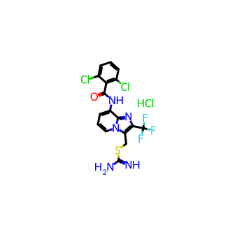 Cl.N=C(N)SCc1c(C(F)(F)F)nc2c(NC(=O)c3c(Cl)cccc3Cl)cccn12